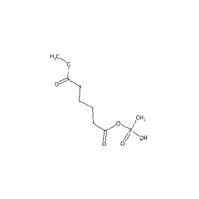 COC(=O)CCCCC(=O)OP(C)(=O)O